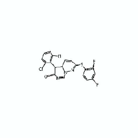 O=C1N=CN2N=C(Sc3ccc(F)cc3F)C=CC2C1c1c(Cl)cccc1Cl